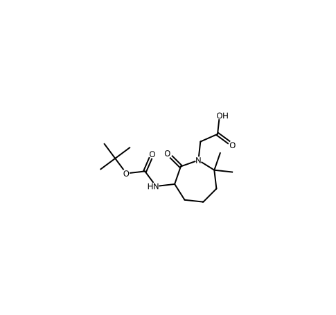 CC(C)(C)OC(=O)NC1CCCC(C)(C)N(CC(=O)O)C1=O